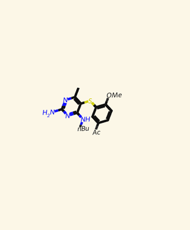 CCCCNc1nc(N)nc(C)c1Sc1cc(C(C)=O)ccc1OC